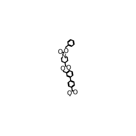 COC(=O)c1ccc(-c2ccc3c(c2)COC(C2CCN(C(=O)OCc4ccccc4)CC2)O3)cc1